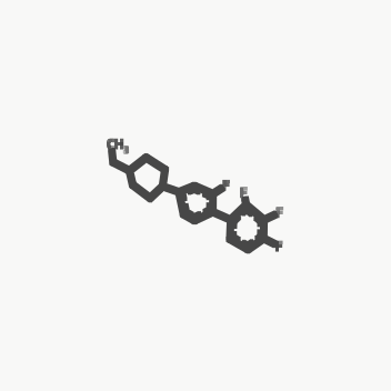 CCC1CCC(c2ccc(-c3ccc(F)c(F)c3F)c(F)c2)CC1